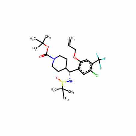 C=CCOc1cc(C(F)(F)F)c(Cl)cc1[C@H](N[S+]([O-])C(C)(C)C)C1CCN(C(=O)OC(C)(C)C)CC1